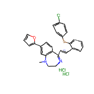 CN1CCN=C(/C=C/c2ccccc2Sc2ccc(Cl)cc2)c2ccc(-c3ccco3)cc21.Cl.Cl